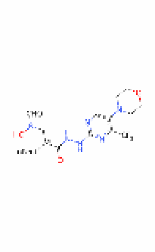 CCCCC[C@H](CN(O)C=O)C(=O)NNc1ncc(N2CCOCC2)c(C(F)(F)F)n1